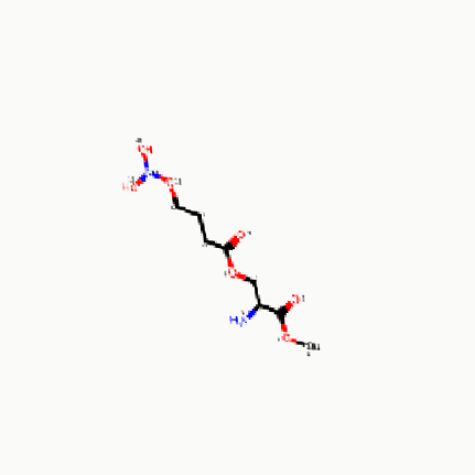 CC(C)(C)OC(=O)C(N)COC(=O)CCCON(O)O